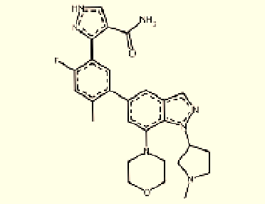 Cc1cc(F)c(-c2n[nH]cc2C(N)=O)cc1-c1cc(N2CCOCC2)c2c(cnn2C2CCN(C)C2)c1